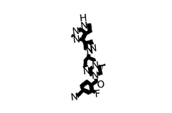 C[C@H]1CN(C(=O)c2ccc(C#N)cc2F)CCN1CC(CC#N)n1cc(-c2ncnc3[nH]ccc23)cn1